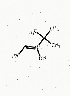 CCC/C=[N+](\O)C(C)(C)C